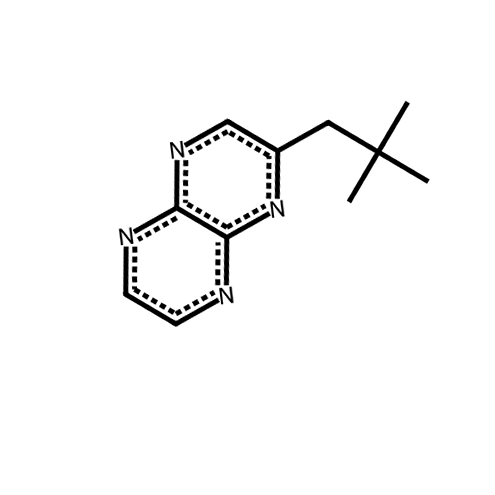 CC(C)(C)Cc1cnc2nccnc2n1